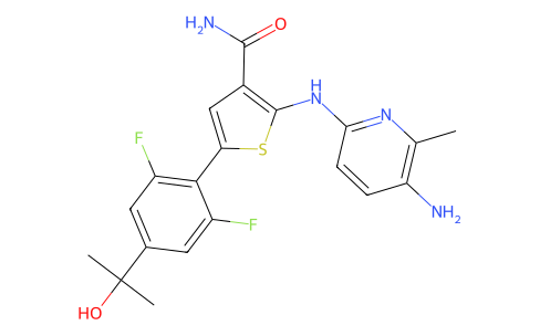 Cc1nc(Nc2sc(-c3c(F)cc(C(C)(C)O)cc3F)cc2C(N)=O)ccc1N